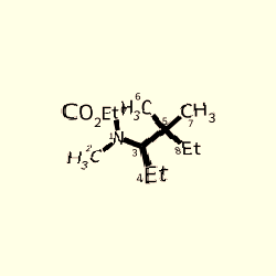 CCOC(=O)N(C)C(CC)C(C)(C)CC